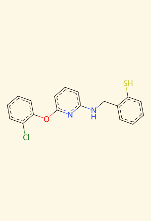 Sc1ccccc1CNc1cccc(Oc2ccccc2Cl)n1